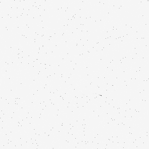 CNC(=O)c1cccc(C(C)N2C(=O)C3C[C@H]2CN3CC(N)C(=O)N2CC(C)CC2C#N)c1